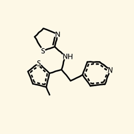 Cc1ccsc1C(Cc1ccncc1)NC1=NCCS1